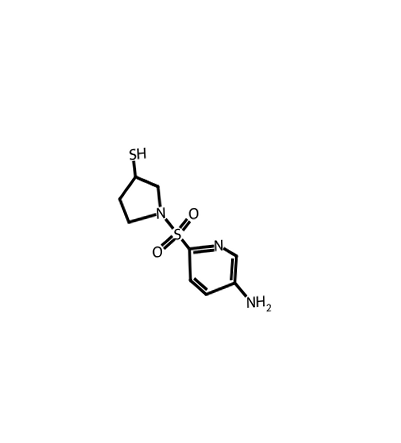 Nc1ccc(S(=O)(=O)N2CCC(S)C2)nc1